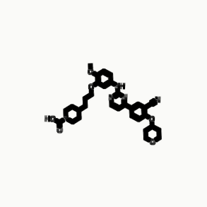 COc1ccc(Nc2nccc(-c3ccc(OC4CCOCC4)c(C#N)c3)n2)cc1OCCCC1CCN(C(=O)O)CC1